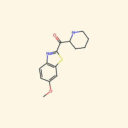 COc1ccc2nc(C(=O)C3CCCC[N]3)sc2c1